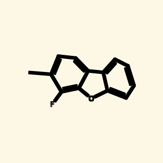 Cc1ccc2c(oc3ccccc32)c1F